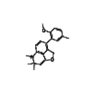 COc1ccc(C)cc1-c1ccc2c3c1COC3=CC(C)(C)N2C